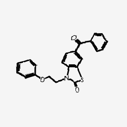 O=C(c1ccccc1)c1ccc2c(c1)sc(=O)n2CCOc1[c]cccc1